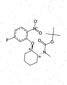 CN(C(=O)OC(C)(C)C)[C@@H]1CCCC[C@H]1Oc1cc(F)ccc1[N+](=O)[O-]